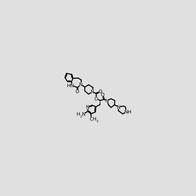 Cc1cc(C[C@@H](OC(=O)N2CCC(N3CCc4ccccc4NC3=O)CC2)C(=O)N2CCC(N3CCNCC3)CC2)cnc1N